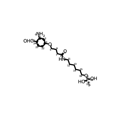 Nc1cc(OCCCC(=O)NCCCCCCOP(O)(O)=S)ccc1C=O